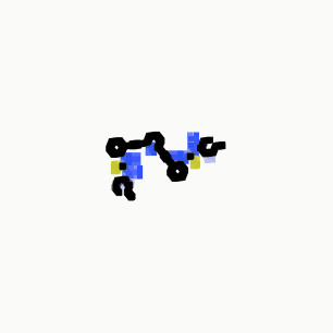 C=C/C=C\C(=C/C)NC(=S)Nc1ccccc1C#Cc1cccc(C#Cc2ccccc2NC(=S)NC(/C=C\C)=C/C=C)n1